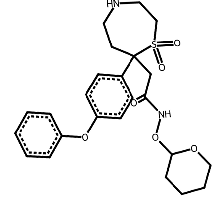 O=C(CC1(c2ccc(Oc3ccccc3)cc2)CCNCCS1(=O)=O)NOC1CCCCO1